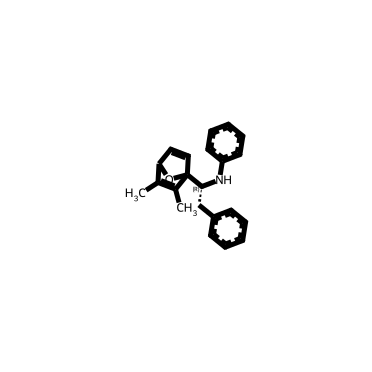 CC1=C(C)C2([C@@H](Cc3ccccc3)Nc3ccccc3)C=CC1O2